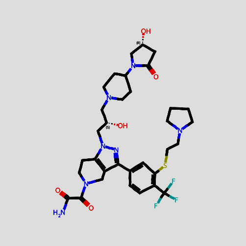 NC(=O)C(=O)N1CCc2c(c(-c3ccc(C(F)(F)F)c(SCCN4CCCC4)c3)nn2C[C@@H](O)CN2CCC(N3C[C@H](O)CC3=O)CC2)C1